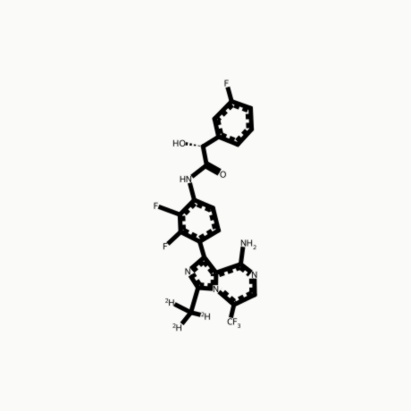 [2H]C([2H])([2H])c1nc(-c2ccc(NC(=O)[C@H](O)c3cccc(F)c3)c(F)c2F)c2c(N)ncc(C(F)(F)F)n12